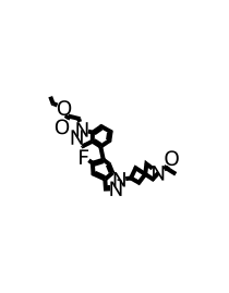 CCOC(=O)Cn1ncc2c(-c3cc4c(cnn4C4CC5(C4)CN(C(C)=O)C5)cc3F)cccc21